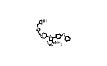 Nc1ncnc2c1c(-c1ccc(Oc3ccccc3)cc1)nn2C1CCN(CC2CN(CC3CNC3)C2)CC1